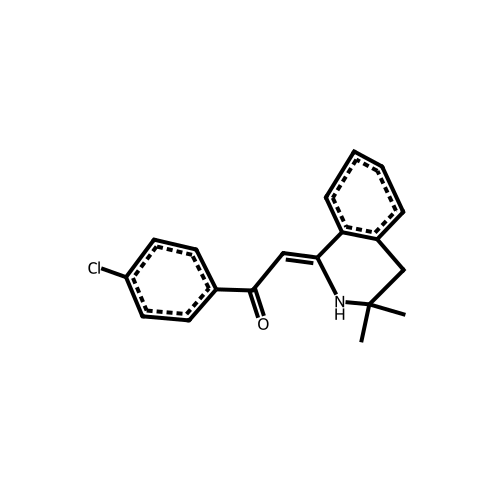 CC1(C)Cc2ccccc2C(=CC(=O)c2ccc(Cl)cc2)N1